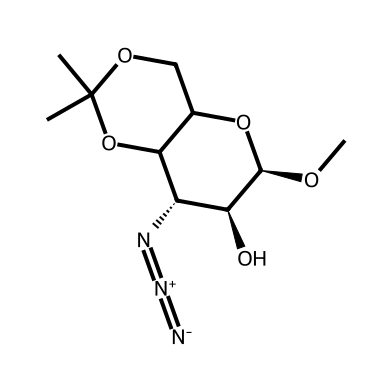 CO[C@@H]1OC2COC(C)(C)OC2[C@@H](N=[N+]=[N-])[C@@H]1O